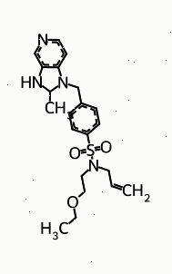 C=CCN(CCOCC)S(=O)(=O)c1ccc(CN2c3ccncc3NC2C)cc1